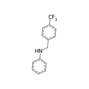 FC(F)(F)c1ccc(CNc2ccccc2)cc1